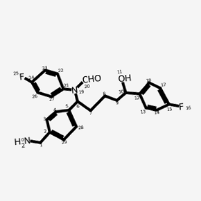 NCc1ccc(C(CCCC(O)c2ccc(F)cc2)N(C=O)c2ccc(F)cc2)cc1